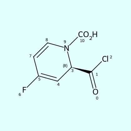 O=C(Cl)[C@H]1C=C(F)C=CN1C(=O)O